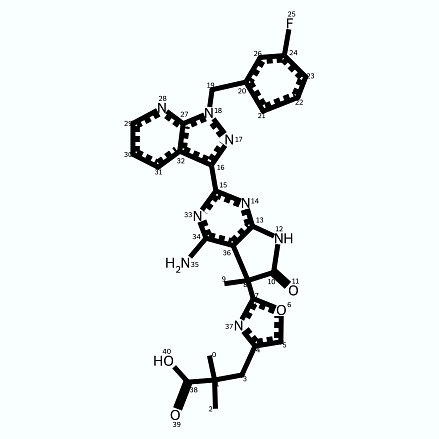 CC(C)(Cc1coc(C2(C)C(=O)Nc3nc(-c4nn(Cc5cccc(F)c5)c5ncccc45)nc(N)c32)n1)C(=O)O